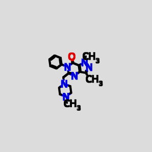 Cc1nn(C)c2c(=O)n(-c3ccccc3)c(CN3CCN(C)CC3)nc12